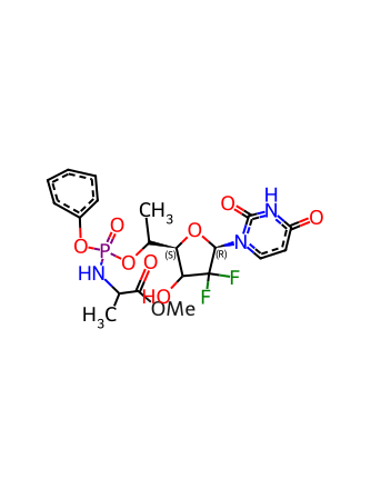 COC(=O)C(C)NP(=O)(Oc1ccccc1)OC(C)[C@H]1O[C@@H](n2ccc(=O)[nH]c2=O)C(F)(F)C1O